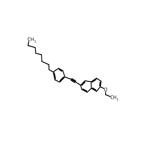 CCCCCCCCc1ccc(C#Cc2ccc3cc(OCC)ccc3c2)cc1